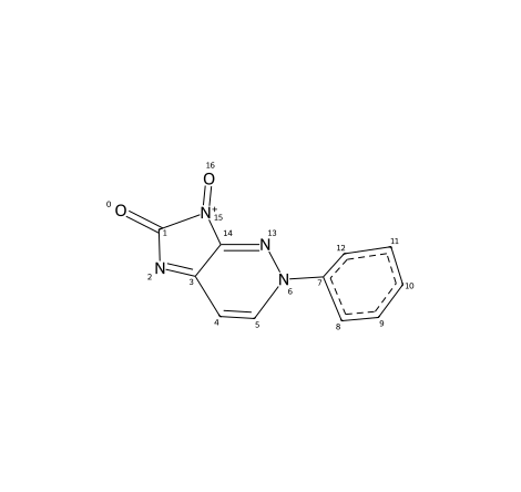 O=C1N=C2C=CN(c3ccccc3)N=C2[N+]1=O